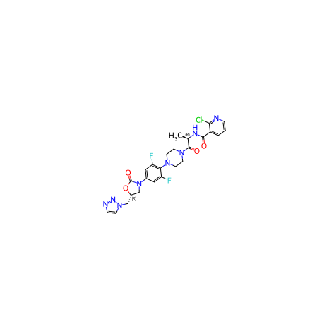 C[C@@H](NC(=O)c1cccnc1Cl)C(=O)N1CCN(c2c(F)cc(N3C[C@H](Cn4ccnn4)OC3=O)cc2F)CC1